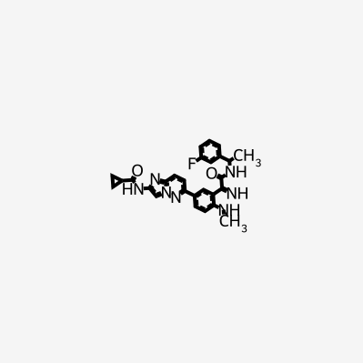 CNc1ccc(-c2ccc3nc(NC(=O)C4CC4)cn3n2)cc1C(=N)C(=O)NC(C)c1cccc(F)c1